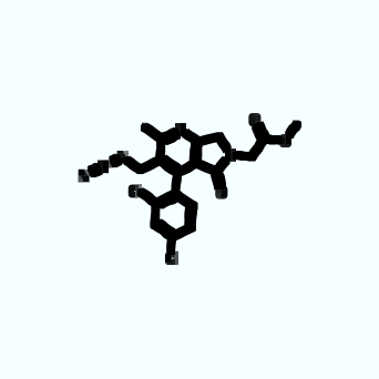 COC(=O)CN1Cc2nc(C)c(CN=[N+]=[N-])c(-c3ccc(Cl)cc3Cl)c2C1=O